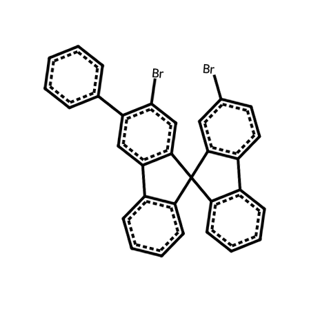 Brc1ccc2c(c1)C1(c3ccccc3-2)c2ccccc2-c2cc(-c3ccccc3)c(Br)cc21